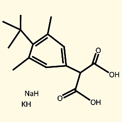 Cc1cc(C(C(=O)O)C(=O)O)cc(C)c1C(C)(C)C.[KH].[NaH]